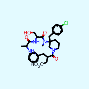 CC(N)C(=O)NC(CO)C(=O)N(C)C1(Cc2ccc(Cl)cc2)CCCN(C(=O)C(CC(=O)O)Cc2ccccc2)C1